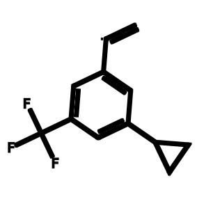 C=[C]c1cc(C2CC2)cc(C(F)(F)F)c1